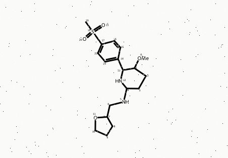 COC1CCC(NCC2CCCO2)NC1c1ccc(S(C)(=O)=O)cc1